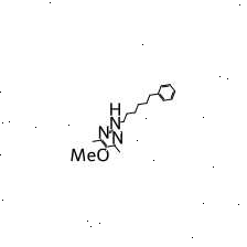 COc1c(C)nc(NCCCCCCc2ccccc2)nc1C